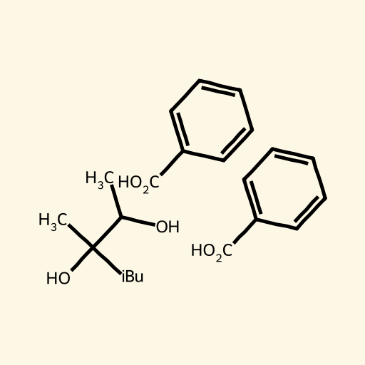 CCC(C)C(C)(O)C(C)O.O=C(O)c1ccccc1.O=C(O)c1ccccc1